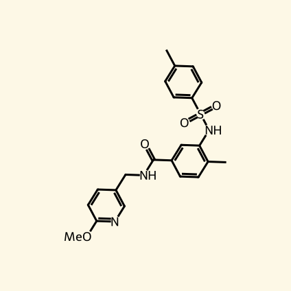 COc1ccc(CNC(=O)c2ccc(C)c(NS(=O)(=O)c3ccc(C)cc3)c2)cn1